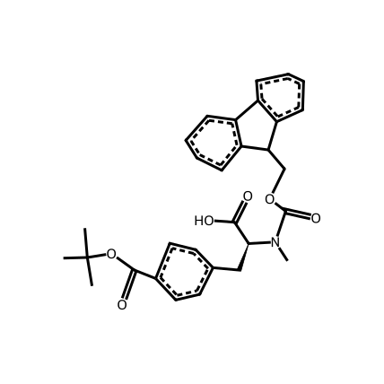 CN(C(=O)OCC1c2ccccc2-c2ccccc21)[C@@H](Cc1ccc(C(=O)OC(C)(C)C)cc1)C(=O)O